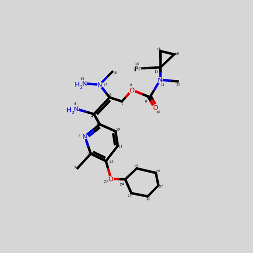 Cc1nc(/C(N)=C(\COC(=O)N(C)C2(C(C)C)CC2)N(C)N)ccc1OC1CCCCC1